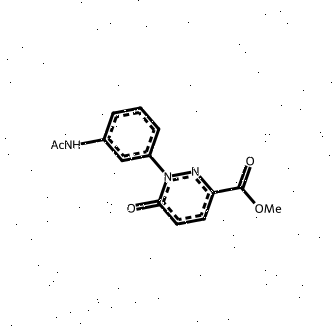 COC(=O)c1ccc(=O)n(-c2cccc(NC(C)=O)c2)n1